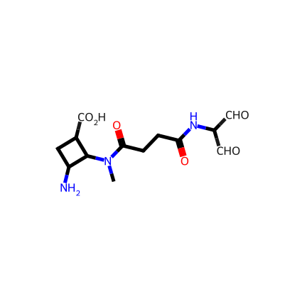 CN(C(=O)CCC(=O)NC(C=O)C=O)C1C(N)CC1C(=O)O